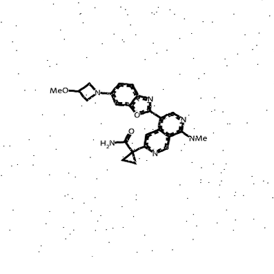 CNc1ncc(-c2nc3ccc(N4CC(OC)C4)cc3o2)c2cc(C3(C(N)=O)CC3)ncc12